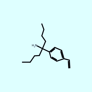 C=Cc1ccc(C(N)(CCCC)CCCC)cc1